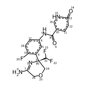 NC1=N[C@@](c2cc(NC(=O)c3ccc(=O)[nH]c3)ccc2F)(C(F)F)COC1